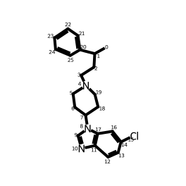 CC(CCN1CCC(n2cnc3ccc(Cl)cc32)CC1)c1ccccc1